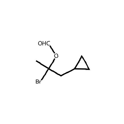 CC(Br)(CC1CC1)OC=O